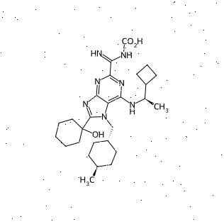 C[C@@H](Nc1nc(C(=N)NC(=O)O)nc2nc(C3(O)CCCCC3)n(C[C@H]3CC[C@H](C)CC3)c12)C1CCC1